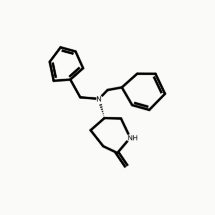 C=C1CC[C@H](N(Cc2ccccc2)CC2C=CC=CC2)CN1